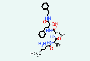 CC(C)C[C@H](NC(=O)[C@@H](NC(=O)[C@@H](N)CCC(=O)O)C(C)C)C(=O)N[C@@H](Cc1ccccc1)[C@@H](O)C(=O)NCCc1ccccc1